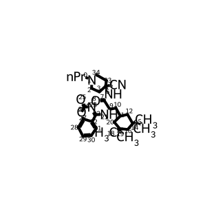 CCCN1CCC(C#N)(NC(=O)C(CC2CC(C)(C)CC(C)(C)C2)Nc2nc(=O)oc3ccccc23)CC1